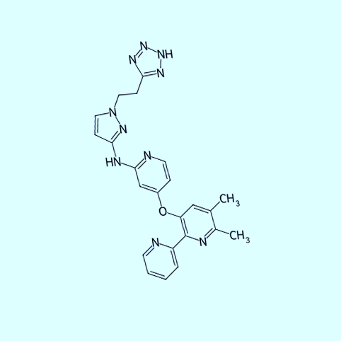 Cc1cc(Oc2ccnc(Nc3ccn(CCc4nn[nH]n4)n3)c2)c(-c2ccccn2)nc1C